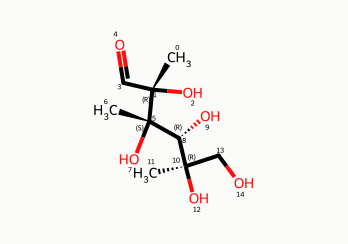 C[C@](O)(C=O)[C@@](C)(O)[C@H](O)[C@](C)(O)CO